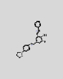 Oc1c(F)cc(/C=C/c2ccc(N3CCCC3)cc2)cc1/C=N/c1ccccc1